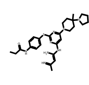 CCC(=O)Nc1ccc(Sc2nc(N/C(N)=C/C(C)=N)cc(N3CCC(C)(N4CCCC4)CC3)n2)cc1